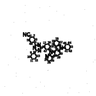 N#Cc1ccc(-c2nc(-c3ccccc3)nc(-c3cccc(-n4c5ncccc5c5ccc6c(c7ccccc7n6-c6ccccc6)c54)c3)n2)cc1